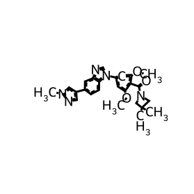 COc1cc(-n2cnc3cc(-c4cnn(C)c4)ccc32)cc(OC)c1C(=O)N1CC(C)(C)C1